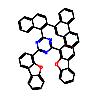 c1ccc2c(-c3nc(-c4cccc5c4oc4ccccc45)nc(-c4cccc5c4oc4ccccc45)n3)c(-c3cc4ccccc4c4ccccc34)ccc2c1